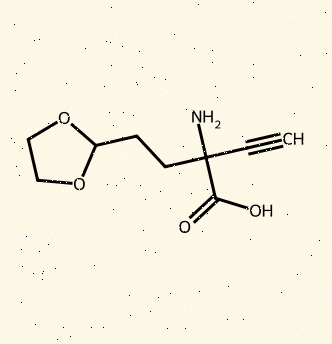 C#CC(N)(CCC1OCCO1)C(=O)O